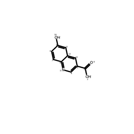 O=C(O)c1cnc2ccc(O)cc2c1